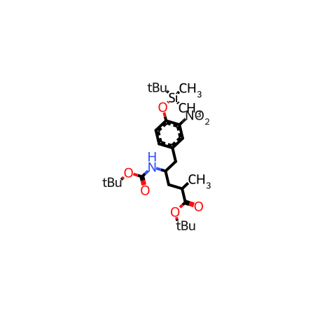 CC(CC(Cc1ccc(O[Si](C)(C)C(C)(C)C)c([N+](=O)[O-])c1)NC(=O)OC(C)(C)C)C(=O)OC(C)(C)C